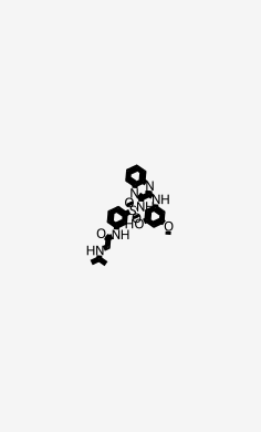 COc1cc(O)cc(Nc2nc3ccccc3nc2NS(=O)(=O)c2cccc(NC(=O)CNC(C)C)c2)c1